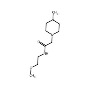 COCCNC(=O)CN1CCN(C)CC1